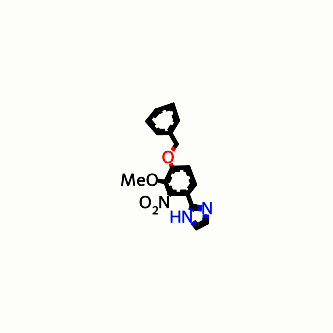 COc1c(OCc2ccccc2)ccc(-c2ncc[nH]2)c1[N+](=O)[O-]